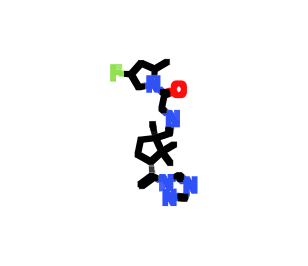 C=C([C@@H]1CC[C@](C)(/C=N\CC(=O)N2CC(F)CC2C)C1(C)C)n1cncn1